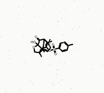 CC1=C(OS(=O)(=O)c2ccc(C)cc2)C2(C)C3(C)COC2(O)C(=O)C12C3=CC[C@@H]2C